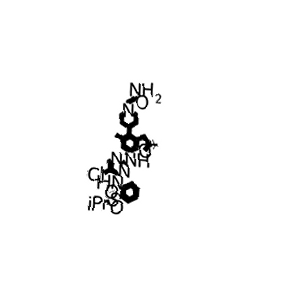 Cc1cc(Nc2ncc(Cl)c(Nc3ccccc3S(=O)(=O)C(C)C)n2)c2c(c1C1CCN(CC(N)=O)CC1)C[C@@H](C)O2